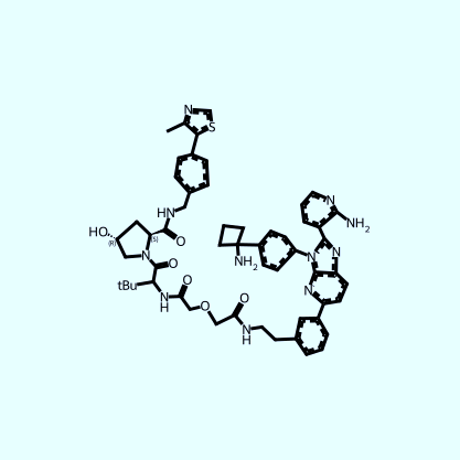 Cc1ncsc1-c1ccc(CNC(=O)[C@@H]2C[C@@H](O)CN2C(=O)C(NC(=O)COCC(=O)NCCc2cccc(-c3ccc4nc(-c5cccnc5N)n(-c5ccc(C6(N)CCC6)cc5)c4n3)c2)C(C)(C)C)cc1